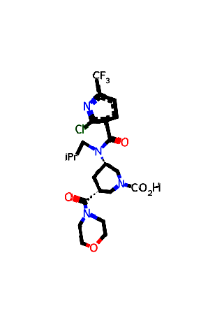 CC(C)CN(C(=O)c1ccc(C(F)(F)F)nc1Cl)[C@H]1C[C@@H](C(=O)N2CCOCC2)CN(C(=O)O)C1